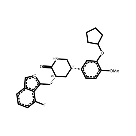 COc1ccc([C@H]2CNC(=O)[C@@H](Cc3occ4cccc(F)c34)C2)cc1OC1CCCC1